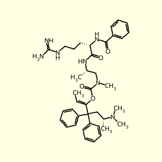 C/C=C(\OC(=O)N(C)C[C@H](C)NC(=O)[C@H](CCCNC(=N)N)NC(=O)c1ccccc1)C(C[C@@H](C)N(C)C)(c1ccccc1)c1ccccc1